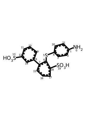 Nc1ccc(Sc2c(-c3cccc(S(=O)(=O)O)c3)cccc2S(=O)(=O)O)cc1